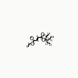 CCOC(=O)C=CC(=O)O[Si](CC)(CC)CC